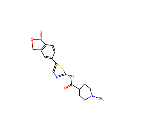 CN1CCC(C(=O)Nc2ncc(-c3ccc4c(c3)COC4=O)s2)CC1